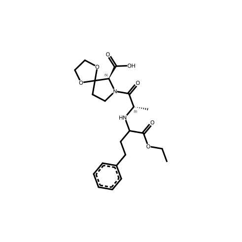 CCOC(=O)C(CCc1ccccc1)N[C@@H](C)C(=O)N1CCC2(OCCO2)[C@H]1C(=O)O